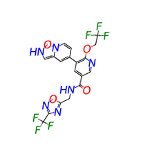 O=C(NCc1nc(C(F)(F)F)no1)c1cnc(OCC(F)(F)F)c(C2=CC3=CNON3C=C2)c1